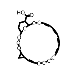 O=C(O)C1CCC2CC1CCC=CC=CC=CC=CCCCCC=CC1CC1OOO2